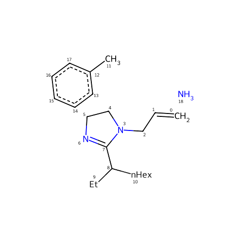 C=CCN1CCN=C1C(CC)CCCCCC.Cc1ccccc1.N